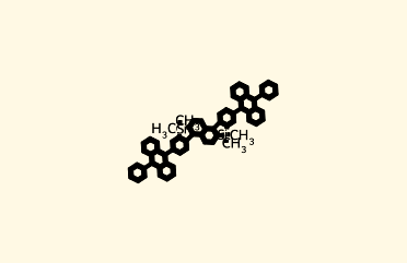 C[Si]1(C)c2cc(-c3c4ccccc4c(-c4ccccc4)c4ccccc34)ccc2-c2c1ccc1c3c(ccc21)[Si](C)(C)c1cc(-c2c4ccccc4c(-c4ccccc4)c4ccccc24)ccc1-3